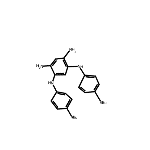 CCCCc1ccc(Nc2cc(Nc3ccc(CCCC)cc3)c(N)cc2N)cc1